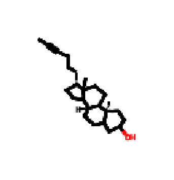 CC#CCCC[C@H]1CCC2[C@@H]3CCC4CC(O)CC[C@]4(C)C3CCC21C